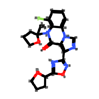 CC1(n2c(=O)c3c(-c4noc(C5CCCO5)n4)ncn3c3cccc(F)c32)CCCO1